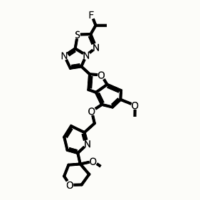 COc1cc(OCc2cccc(C3(OC)CCOCC3)n2)c2cc(-c3cnc4sc(C(C)F)nn34)oc2c1